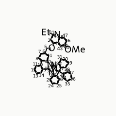 CCc1cc(OCc2ccc(-c3ccccc3-c3nnn(C(c4ccccc4)(c4ccccc4)c4ccccc4)n3)cc2)c2cc(OC)ccc2n1